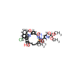 COCC1(COC)Cn2cc(C(=O)NS3(=O)=NC(=O)c4ccc5c(c4)N(C[C@@H]4CC[C@H]4[C@@H](O)/C=C/C[C@H](C)[C@H]3C)C[C@@]3(CCCc4cc(Cl)ccc43)CO5)cc2CO1